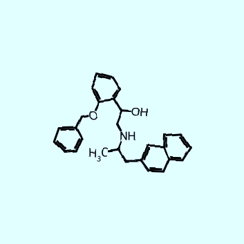 CC(Cc1ccc2ccccc2c1)NCC(O)c1ccccc1OCc1ccccc1